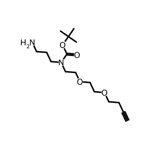 C#CCCOCCOCCN(CCCN)C(=O)OC(C)(C)C